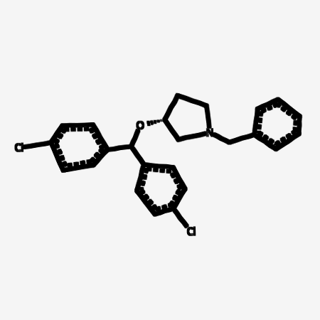 Clc1ccc(C(O[C@@H]2CCN(Cc3ccccc3)C2)c2ccc(Cl)cc2)cc1